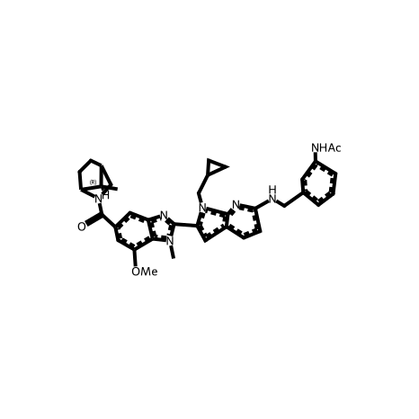 COc1cc(C(=O)N2CC3CCC2[C@@H]3C)cc2nc(-c3cc4ccc(NCc5cccc(NC(C)=O)c5)nc4n3CC3CC3)n(C)c12